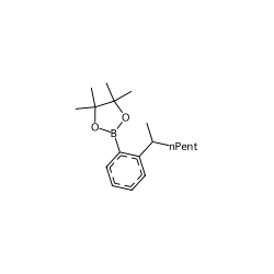 CCCCCC(C)c1ccccc1B1OC(C)(C)C(C)(C)O1